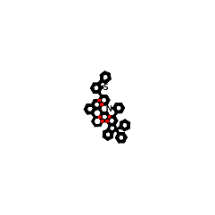 c1ccc(C2(c3ccccc3)c3ccccc3-c3ccc(-c4ccccc4N(c4ccc(-c5cccc6c5sc5ccccc56)cc4)c4ccccc4-c4cccc5cccc(C6CCCCC6)c45)cc32)cc1